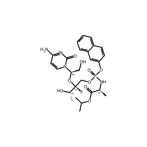 CC(C)OC(=O)[C@H](C)NP(=O)(OC[C@@](F)(O[C@H](CO)n1ccc(N)nc1=O)[C@H](C)O)Oc1ccc2ccccc2c1